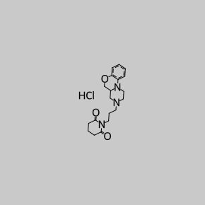 Cl.O=C1CCCC(=O)N1CCCN1CCN2c3ccccc3OCC2C1